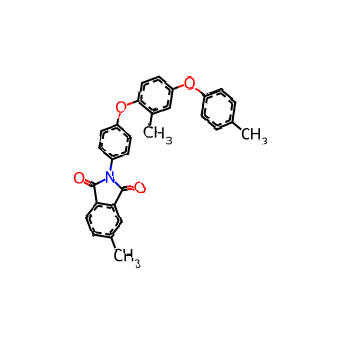 Cc1ccc(Oc2ccc(Oc3ccc(N4C(=O)c5ccc(C)cc5C4=O)cc3)c(C)c2)cc1